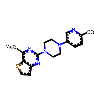 COc1nc(N2CCN(c3ccc(C(=O)O)nc3)CC2)nc2ccsc12